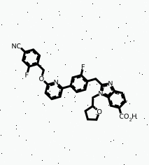 N#Cc1ccc(COc2cccc(-c3ccc(Cc4nc5ccc(C(=O)O)cc5n4CC4CCCO4)c(F)c3)n2)c(F)c1